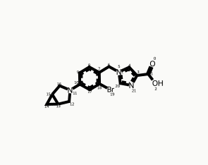 O=C(O)c1cn(Cc2ccc(N3CC4CC4C3)cc2Br)cn1